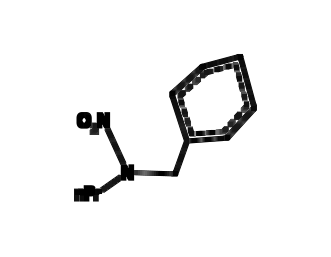 CCCN(Cc1ccccc1)[N+](=O)[O-]